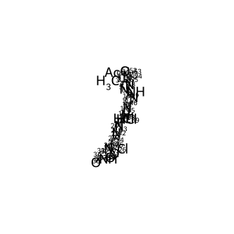 CC(=O)c1c(C)c2cnc(Nc3ccc(N4CCN(CCN5CCN(c6cc(Cl)c7c(c6)CN(C6CCC(=O)NC6=O)C7=O)CC5)CC4)cn3)nc2n(C2CCCC2)c1=O.Cl.Cl